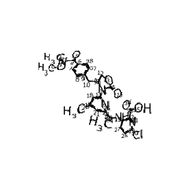 CON(C)C(=O)c1ccc(C[C@H]2COC(=O)N2c2cc(C)cc([C@@H](C)Nc3ccc(Cl)nc3C(=O)O)n2)cc1